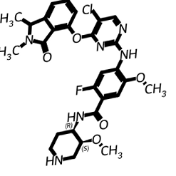 COc1cc(C(=O)N[C@@H]2CCNC[C@@H]2OC)c(F)cc1Nc1ncc(Cl)c(Oc2cccc3c2C(=O)N(C)C3C)n1